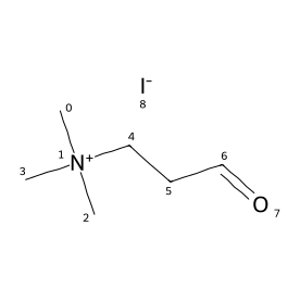 C[N+](C)(C)CCC=O.[I-]